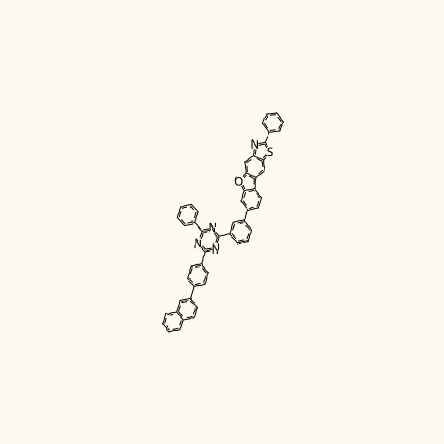 c1ccc(-c2nc(-c3ccc(-c4ccc5ccccc5c4)cc3)nc(-c3cccc(-c4ccc5c(c4)oc4cc6nc(-c7ccccc7)sc6cc45)c3)n2)cc1